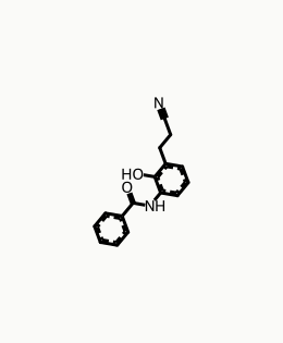 N#CCCc1cccc(NC(=O)c2ccccc2)c1O